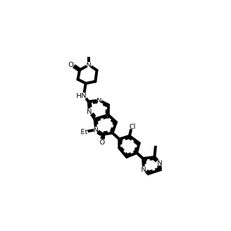 CCn1c(=O)c(-c2ccc(-c3nccnc3C)cc2Cl)cc2cnc(NC3CCN(C)C(=O)C3)nc21